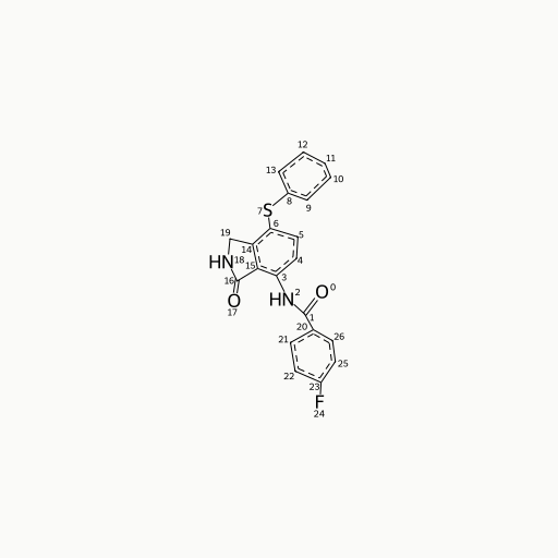 O=C(Nc1ccc(Sc2ccccc2)c2c1C(=O)NC2)c1ccc(F)cc1